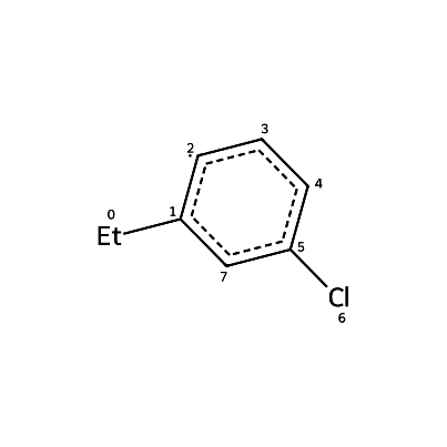 CCc1[c]ccc(Cl)c1